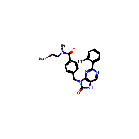 COCCN(C(=O)c1ccc(Cn2c(=O)[nH]c3cnc(-c4ccccc4C(C)C)nc32)cc1)C(C)C